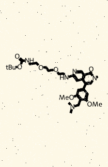 COc1cc(-c2cn(C)c(=O)c3cnc(NCCOCCOCCNC(=O)OC(C)(C)C)cc23)cc(OC)c1CN(C)C